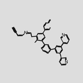 C#C/C=C\N=C/Cc1cc(C(/C=C\C=C)=C/C)cc(-c2cccc(-c3cc(-c4cccnc4)cc(-c4cccnc4)c3)c2)c1C